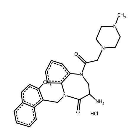 Cc1ccc2ccccc2c1CN1C(=O)C(N)CN(C(=O)CN2CCN(C)CC2)c2ccccc21.Cl